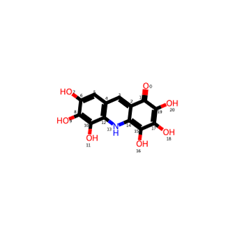 O=c1c2cc3cc(O)c(O)c(O)c3[nH]c-2c(O)c(O)c1O